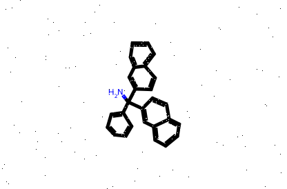 NC(c1ccccc1)(c1ccc2ccccc2c1)c1ccc2ccccc2c1